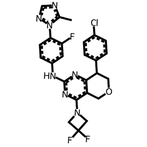 Cc1ncnn1-c1ccc(Nc2nc3c(c(N4CC(F)(F)C4)n2)COCC3c2ccc(Cl)cc2)cc1F